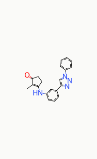 CC1=C(Nc2cccc(-c3cn(-c4ccccc4)nn3)c2)CCC1=O